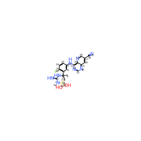 CN1C(=N)N[C@](C)(c2cc(Nc3ncnc4cc(C#N)cnc34)ccc2F)CS1(O)O